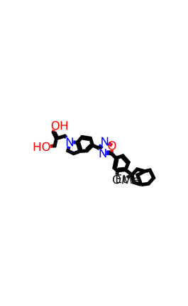 CCC1(c2ccc(-c3nc(-c4ccc5c(c4)CCN5C/C(=C\O)CO)no3)cc2OC)CC2CCCC(C2)C1